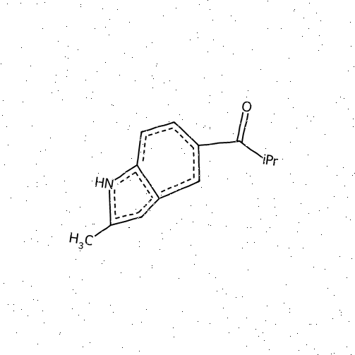 Cc1cc2cc(C(=O)C(C)C)ccc2[nH]1